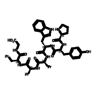 CC(C)C[C@H](NC(=O)[C@@H](NC(=O)[C@@H](NC(=O)[C@H](Cc1c[nH]c2ccccc12)NC(=O)[C@H](Cc1ccc(O)cc1)NC(=O)[C@@H]1CCCN1)C(C)C)C(C)C)C(=O)NCC(=O)O